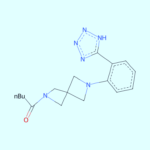 CCCCC(=O)N1CC2(C1)CN(c1ccccc1-c1nnn[nH]1)C2